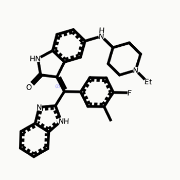 CCN1CCC(Nc2ccc3c(c2)/C(=C(\c2ccc(F)c(C)c2)c2nc4ccccc4[nH]2)C(=O)N3)CC1